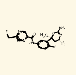 C[C@@]1(c2cc(NC(=O)c3cnc(CF)cn3)ccc2F)C[C@@H](C(F)(F)F)N=C(N)O1